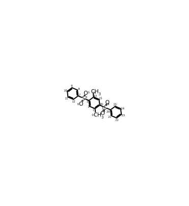 Cc1cc(S(=O)(=O)c2ccccc2)c(C)cc1S(=O)(=O)c1ccccc1